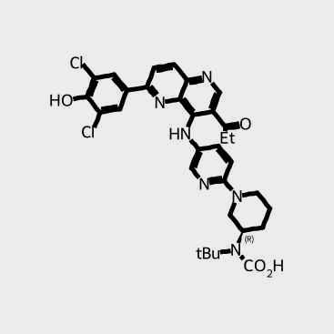 CCC(=O)c1cnc2ccc(-c3cc(Cl)c(O)c(Cl)c3)nc2c1Nc1ccc(N2CCC[C@@H](N(C(=O)O)C(C)(C)C)C2)nc1